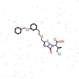 C=C(CCl)C(C(=O)O)N1C(=O)C2N=C(COCCc3cccc(OCc4ccccc4)c3)SC21